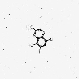 Cc1cnc2c(Cl)cc(I)c(O)c2n1